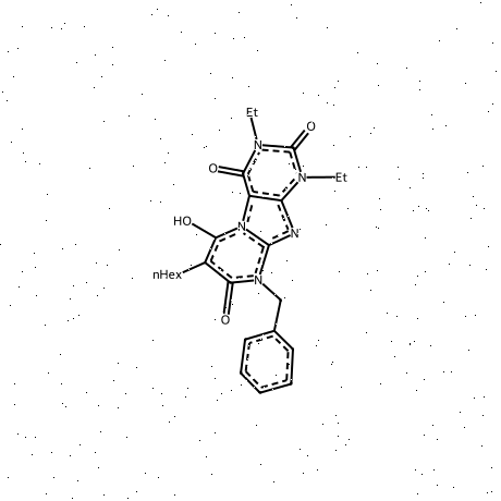 CCCCCCc1c(O)n2c3c(=O)n(CC)c(=O)n(CC)c3nc2n(Cc2ccccc2)c1=O